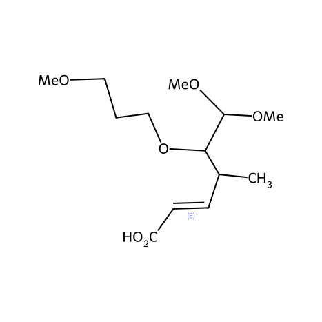 COCCCOC(C(C)/C=C/C(=O)O)C(OC)OC